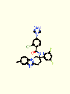 Cc1ccc2c(c1)nc1n2CC(NC(=O)c2ccc(-n3cnnc3)cc2Cl)(c2cc(F)cc(F)c2)CC1